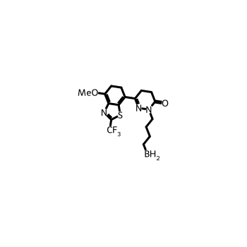 BCCCCN1N=C(C2=c3sc(C(F)(F)F)nc3=C(OC)CC2)CCC1=O